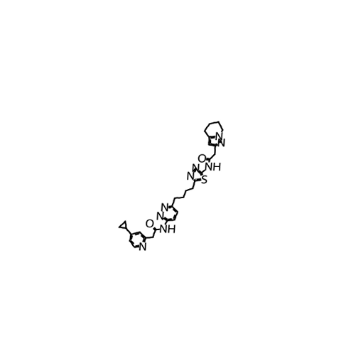 O=C(Cc1cc(C2CC2)ccn1)Nc1ccc(CCCCc2nnc(NC(=O)Cc3cc4n(n3)CCCC4)s2)nn1